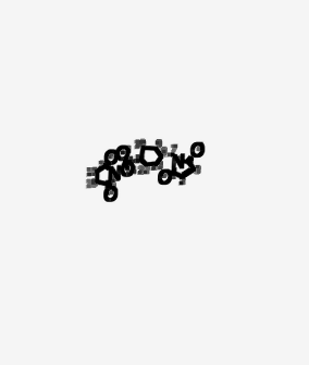 O=C1C=CC(=O)N1C[C@H]1CC[C@H](C(=O)ON2C(=O)CCC2=O)CC1